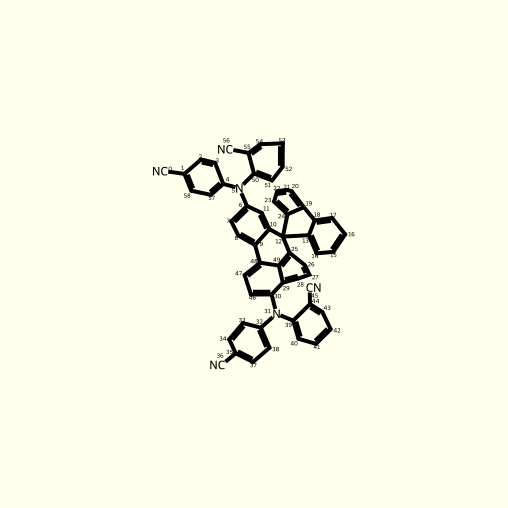 N#Cc1ccc(N(c2ccc3c(c2)C2(c4ccccc4-c4ccccc42)c2cccc4c(N(c5ccc(C#N)cc5)c5ccccc5C#N)ccc-3c24)c2ccccc2C#N)cc1